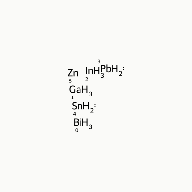 [BiH3].[GaH3].[InH3].[PbH2].[SnH2].[Zn]